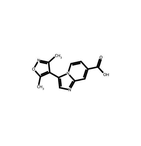 Cc1noc(C)c1-c1cnc2cc(C(=O)O)ccn12